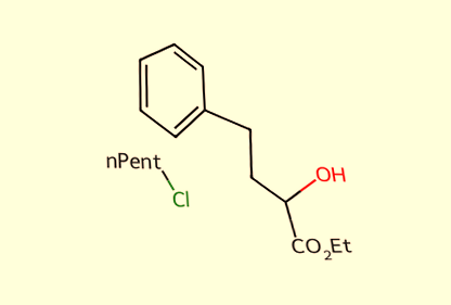 CCCCCCl.CCOC(=O)C(O)CCc1ccccc1